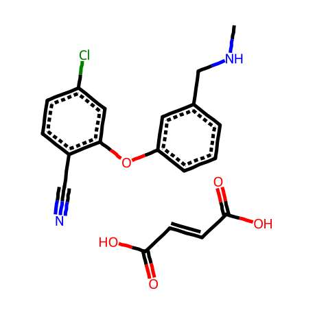 CNCc1cccc(Oc2cc(Cl)ccc2C#N)c1.O=C(O)/C=C/C(=O)O